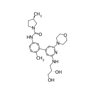 Cc1ccc(NC(=O)N2CC[C@@H](C)C2)cc1-c1cc(NC[C@H](O)CO)nc(N2CCOCC2)c1